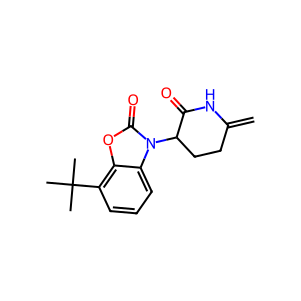 C=C1CCC(n2c(=O)oc3c(C(C)(C)C)cccc32)C(=O)N1